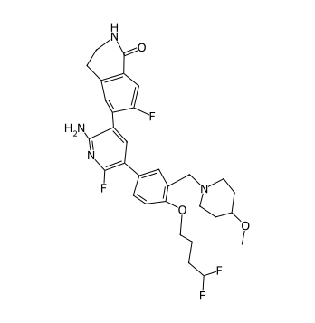 COC1CCN(Cc2cc(-c3cc(-c4cc5c(cc4F)C(=O)NCC5)c(N)nc3F)ccc2OCCCC(F)F)CC1